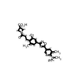 CCc1cc(-c2noc(-c3cnc(N(C)C(C)C)c(C)c3)n2)cc(C)c1CCC(=O)N1CC(C(=O)O)C1